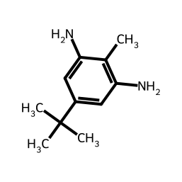 Cc1c(N)cc(C(C)(C)C)cc1N